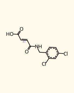 O=C(O)/C=C/C(=O)NCc1ccc(Cl)cc1Cl